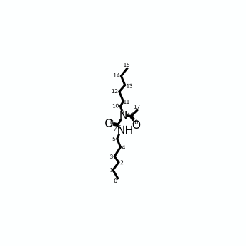 CCCCCCNC(=O)N(CCCCCC)C(C)=O